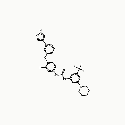 O=C(Nc1cc(N2CCCCC2)cc(C(F)(F)F)c1)Nc1ccc(Oc2ccnc(-c3cn[nH]c3)c2)c(F)c1